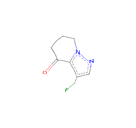 O=C1CCCn2ncc(F)c21